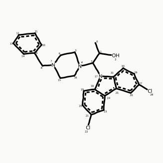 CC(O)C(N1CCN(Cc2ccccc2)CC1)n1c2ccc(Cl)cc2c2cc(Cl)ccc21